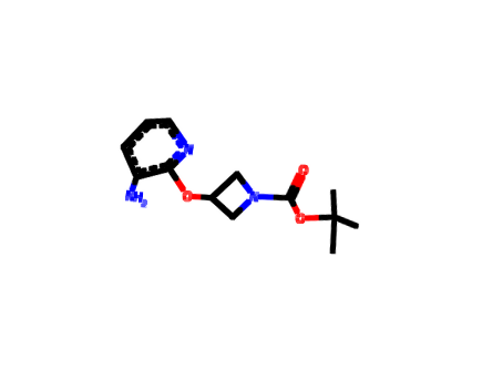 CC(C)(C)OC(=O)N1CC(Oc2ncccc2N)C1